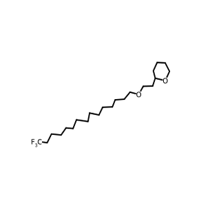 FC(F)(F)CCCCCCCCCCCCCCOCCC1CCCCO1